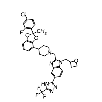 CC1(c2ccc(Cl)cc2F)Oc2cccc(C3CCN(Cc4nc5cc(-c6nnc(C(F)(F)F)[nH]6)ccc5n4CC4CCO4)CC3)c2O1